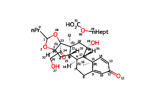 CCCC1O[C@@H]2C[C@H]3[C@@H]4CCC5=CC(=O)C=C[C@]5(C)[C@H]4[C@@H](O)C[C@]3(C)[C@]2(C(=O)CO)O1.CCCCCCCOC(=O)O